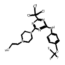 OCCN1CCN(c2nc(Nc3ccc(OC(F)(F)F)cc3)nc(C(Cl)(Cl)Cl)n2)CC1